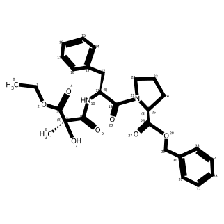 CCOC(=O)[C@](C)(O)C(=O)N[C@@H](Cc1ccccc1)C(=O)N1CCC[C@H]1C(=O)OCc1ccccc1